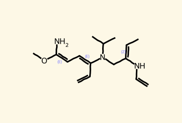 C=CN/C(=C\C)CN(/C(C=C)=C/C=C(\N)OC)C(C)C